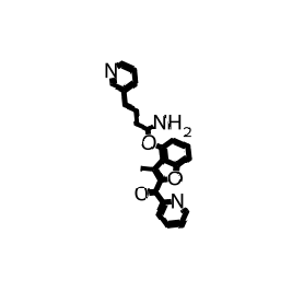 Cc1c(C(=O)c2ccccn2)oc2cccc(OC(N)CCCc3cccnc3)c12